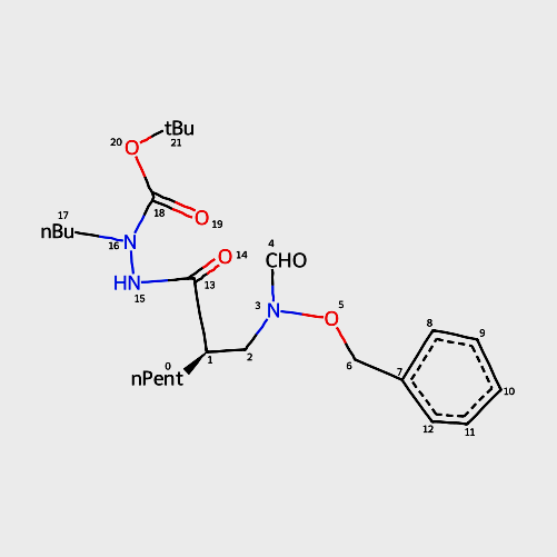 CCCCC[C@H](CN(C=O)OCc1ccccc1)C(=O)NN(CCCC)C(=O)OC(C)(C)C